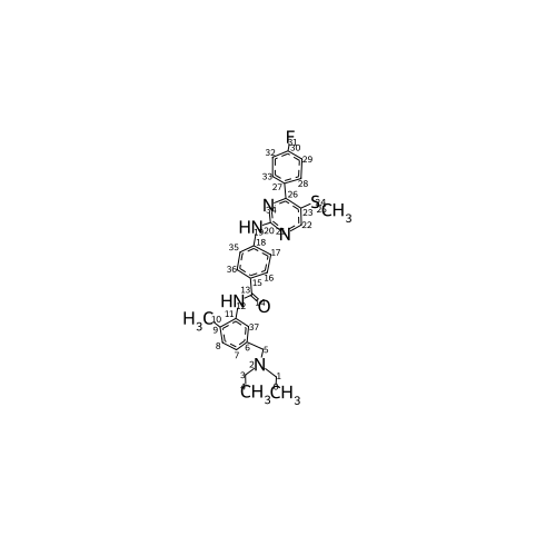 CCN(CC)Cc1ccc(C)c(NC(=O)c2ccc(Nc3ncc(SC)c(-c4ccc(F)cc4)n3)cc2)c1